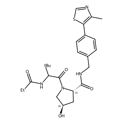 CCC(=O)NC(C(=O)N1C[C@H](O)C[C@H]1C(=O)NCc1ccc(-c2scnc2C)cc1)C(C)(C)C